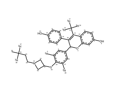 [2H]c1cc(C2Oc3cc(O)ccc3C(C([2H])([2H])[2H])=C2c2ccc(O)cc2)cc([2H])c1SC1CN(CCC([2H])([2H])C)C1